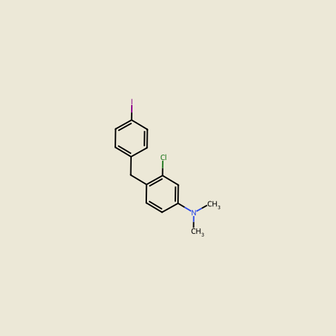 CN(C)c1ccc(Cc2ccc(I)cc2)c(Cl)c1